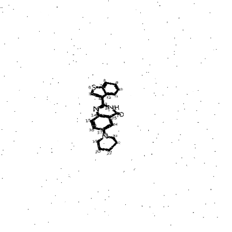 O=c1[nH]c(-c2csc3ccccc23)nc2ccc(N3CCCCC3)cc12